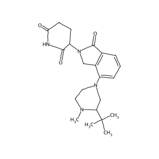 CN1CCN(c2cccc3c2CN(C2CCC(=O)NC2=O)C3=O)CC1C(C)(C)C